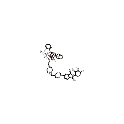 Cc1ccccc1/C(N)=C/C(=C(N)N)N1CC2CCC(C1)N2c1cccc(OCCN2CCN(CC3CCN(c4ccc5c(c4)C(=O)N(C4CCC(=O)NC4=O)C5=O)CC3)CC2)c1